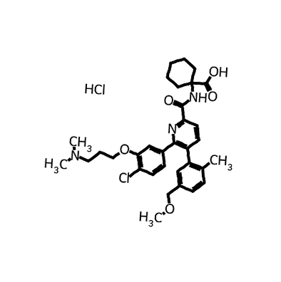 COCc1ccc(C)c(-c2ccc(C(=O)NC3(C(=O)O)CCCCC3)nc2-c2ccc(Cl)c(OCCCN(C)C)c2)c1.Cl